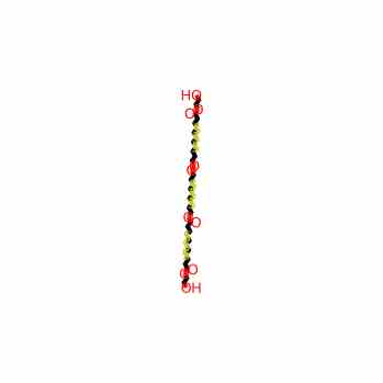 O=C(CCSCSCSCCCOOCCSCSCSCCOC(=O)CCSCSCSCCC(=O)OCCO)OCCO